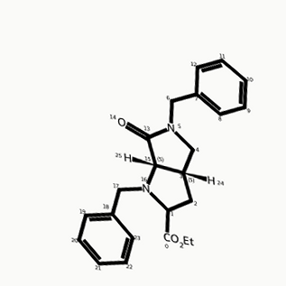 CCOC(=O)C1C[C@H]2CN(Cc3ccccc3)C(=O)[C@H]2N1Cc1ccccc1